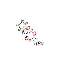 CC(C)(C)CC1COC(N=S2(=O)CCCC2)CO1